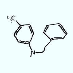 CN(Cc1ccccc1)c1ccc(C(F)(F)F)cc1